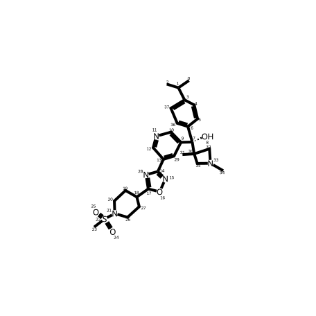 CC(C)c1ccc([C@](O)(c2cncc(-c3noc(C4CCN(S(C)(=O)=O)CC4)n3)c2)C2(C)CN(C)C2)cc1